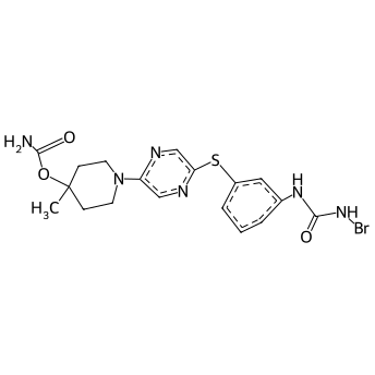 CC1(OC(N)=O)CCN(c2cnc(Sc3cccc(NC(=O)NBr)c3)cn2)CC1